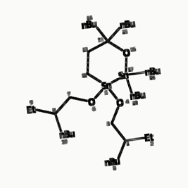 CCCCC(CC)C[O][Sn]1([O]CC(CC)CCCC)[CH2]CC(CCCC)(CCCC)[O][Sn]1([CH2]CCC)[CH2]CCC